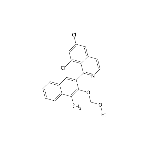 CCOCOc1c(-c2nccc3cc(Cl)cc(Cl)c23)cc2ccccc2c1C